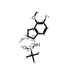 COc1c(F)ccc2c1C[C@@H](F)[C@H]2N[S@+]([O-])C(C)(C)C